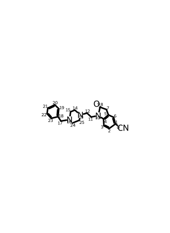 N#Cc1ccc2c(c1)CC(=O)N2CCN1CCN(Cc2ccccc2)CC1